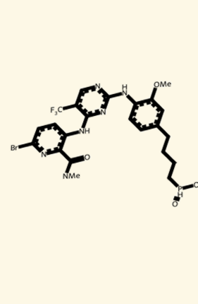 CNC(=O)c1nc(Br)ccc1Nc1nc(Nc2ccc(CC[CH]C[PH](=O)O)cc2OC)ncc1C(F)(F)F